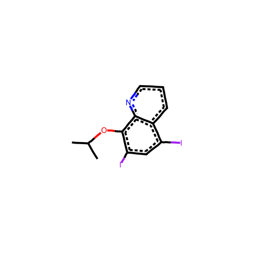 CC(C)Oc1c(I)cc(I)c2cccnc12